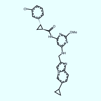 COc1nc(NCc2cn3cc(C4CC4)ccc3n2)cc(NC(=O)[C@H]2C[C@@H]2c2cccc(Cl)c2)n1